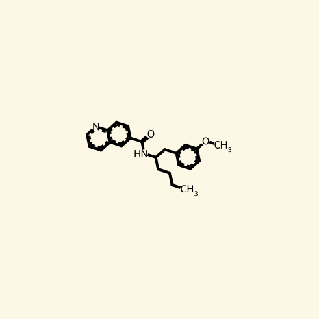 CCCCC(Cc1cccc(OC)c1)NC(=O)c1ccc2ncccc2c1